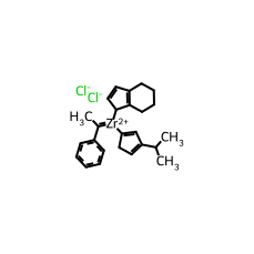 C/[C](c1ccccc1)=[Zr+2](/[C]1=CC(C(C)C)=CC1)[CH]1C=CC2=C1CCCC2.[Cl-].[Cl-]